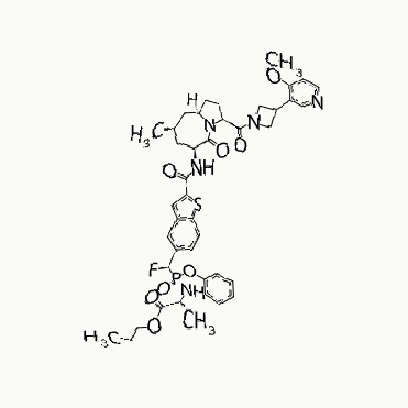 CCCOC(=O)[C@H](C)N[P@@](=O)(Oc1ccccc1)[C@@H](F)c1ccc2sc(C(=O)N[C@H]3C[C@@H](C)C[C@H]4CC[C@@H](C(=O)N5CC(c6cnccc6OC)C5)N4C3=O)cc2c1